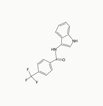 O=C(Nc1c[nH]c2ccccc12)c1ccc(C(F)(F)F)cc1